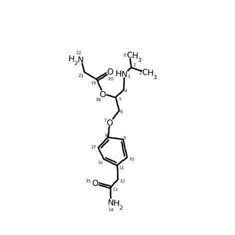 CC(C)NCC(COc1ccc(CC(N)=O)cc1)OC(=O)CN